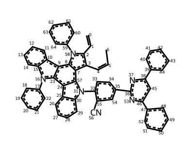 C=Cc1c(/C=C\C)c2c(c3c4ccccc4n(-c4ccccc4)c3c3c4ccccc4n(-c4ccc(-c5nc(-c6ccccc6)cc(-c6ccccc6)n5)cc4C#N)c23)n1-c1ccccc1